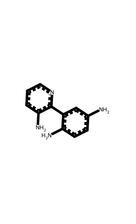 Nc1ccc(N)c(-c2ncccc2N)c1